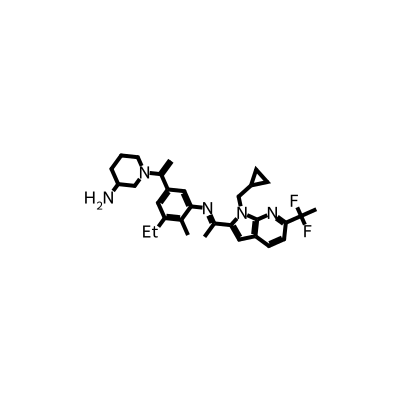 C=C(c1cc(CC)c(C)c(/N=C(\C)c2cc3ccc(C(C)(F)F)nc3n2CC2CC2)c1)N1CCCC(N)C1